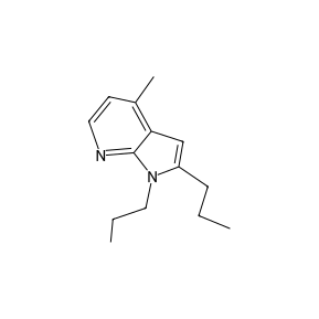 CCCc1cc2c(C)ccnc2n1CCC